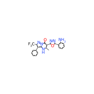 Cc1[nH]c2c(-c3ccccc3)c(C(F)(F)F)nn2c(=O)c1-c1nnc(-c2ccccc2N)o1